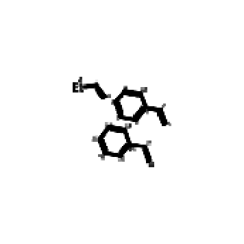 C=CCC.C=Cc1ccccc1.C=Cc1ccccc1